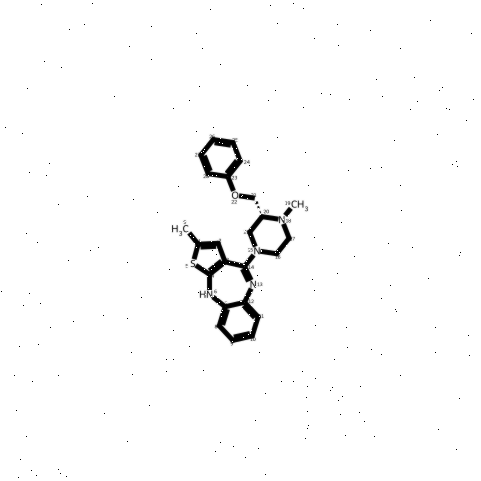 Cc1cc2c(s1)Nc1ccccc1N=C2N1CCN(C)[C@@H](COc2ccccc2)C1